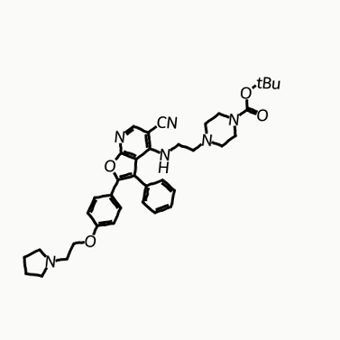 CC(C)(C)OC(=O)N1CCN(CCNc2c(C#N)cnc3oc(-c4ccc(OCCN5CCCC5)cc4)c(-c4ccccc4)c23)CC1